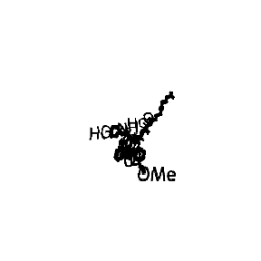 C=C(O[C@@H](CC(=O)[C@H](C)/C=C(\C)[C@@H](O)CC(=O)CCCC#C/C=C/C=C(C)C)[C@H](C)C[C@]1(N)CC[C@@H](O)CC1)C1CCCCN1C(=O)C(=O)[C@]1(O)O[C@H](CCOC)CC[C@H]1C